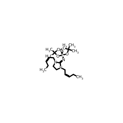 CC/C=C\CN1CCN(C/C=C\CC)C1=NP(=O)(OC(C)(C)C)OC(C)(C)C